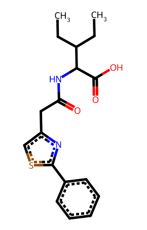 CCC(CC)C(NC(=O)Cc1csc(-c2ccccc2)n1)C(=O)O